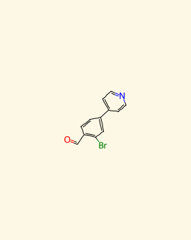 O=Cc1ccc(-c2ccncc2)cc1Br